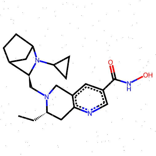 CC[C@H]1Cc2ncc(C(=O)NO)cc2CN1C[C@H]1C2CCC(C2)N1C1CC1